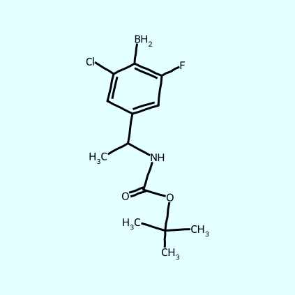 Bc1c(F)cc(C(C)NC(=O)OC(C)(C)C)cc1Cl